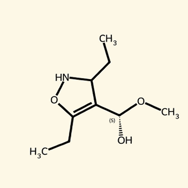 CCC1=C([C@@H](O)OC)C(CC)NO1